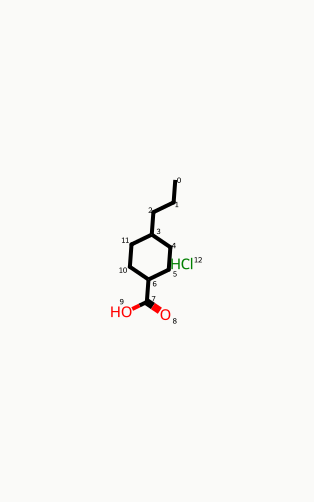 CCCC1CCC(C(=O)O)CC1.Cl